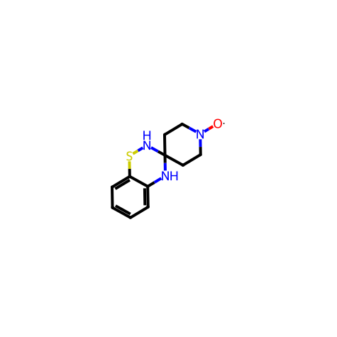 [O]N1CCC2(CC1)NSc1ccccc1N2